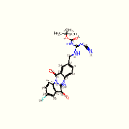 CC(C)(C)OC(=O)N/C(=N/C#N)NCc1ccc2nc3n(c(=O)c2c1)-c1ccc(F)cc1C3=O